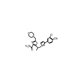 CC(Cn1ccc(-c2ccc(C#N)c(Cl)c2)n1)c1sc(CN2CCOCC2)nc1C(N)=O